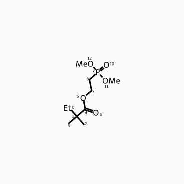 CCC(C)(C)C(=O)OCCP(=O)(OC)OC